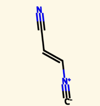 [C-]#[N+]C=CC#N